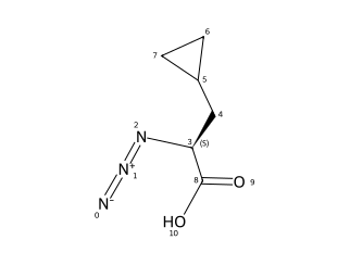 [N-]=[N+]=N[C@@H](CC1CC1)C(=O)O